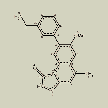 COc1cc2c(C)cc3n[nH]c(=O)n3c2cc1-c1cccc(CN)c1